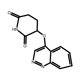 O=C1CCC(Oc2cnnc3ccccc23)C(=O)N1